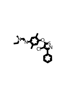 CCN(C)/C=N/c1cc(C)c(Oc2snc(-c3ccccc3)c2Cl)cc1C